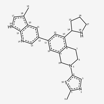 Cc1ncc(N2CCc3c(cc(-c4cnc5[nH]cc(C)c5c4)cc3C3CCCN3)C2)s1